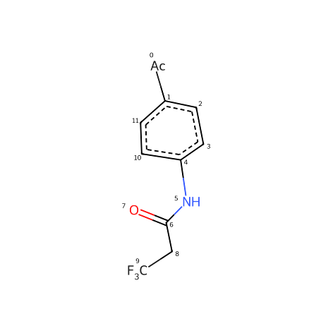 CC(=O)c1ccc(NC(=O)CC(F)(F)F)cc1